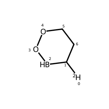 [2H]C1BOOCC1